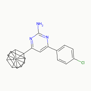 Nc1nc(-c2ccc(Cl)cc2)cc([C]23[CH]4[CH]5[CH]6[CH]2[Fe]56432789[CH]3[CH]2[CH]7[CH]8[CH]39)n1